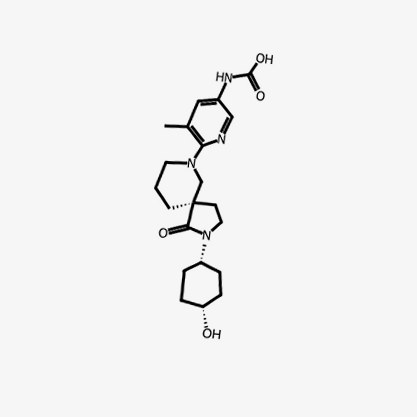 Cc1cc(NC(=O)O)cnc1N1CCC[C@@]2(CCN([C@H]3CC[C@@H](O)CC3)C2=O)C1